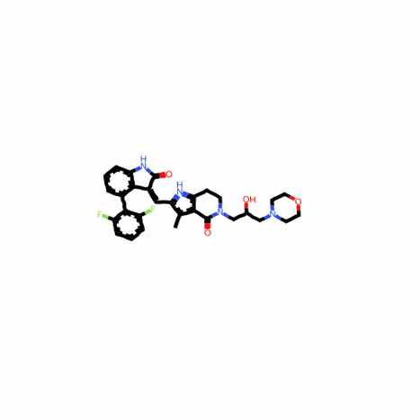 Cc1c(C=C2C(=O)Nc3cccc(-c4c(F)cccc4F)c32)[nH]c2c1C(=O)N(CC(O)CN1CCOCC1)CC2